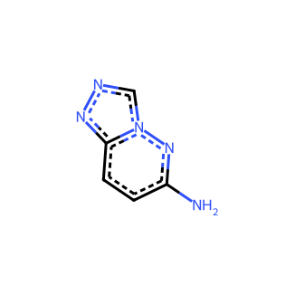 Nc1ccc2nncn2n1